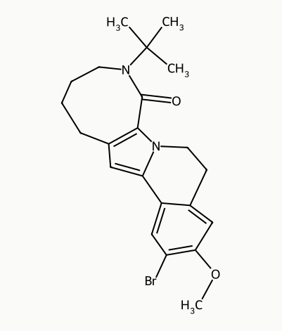 COc1cc2c(cc1Br)-c1cc3c(n1CC2)C(=O)N(C(C)(C)C)CCCC3